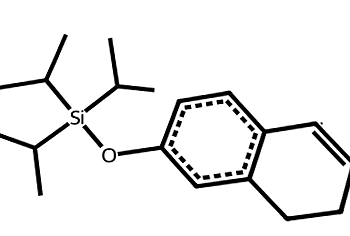 CC(C)[Si](Oc1ccc2c(c1)CCC=[C]2)(C(C)C)C(C)C